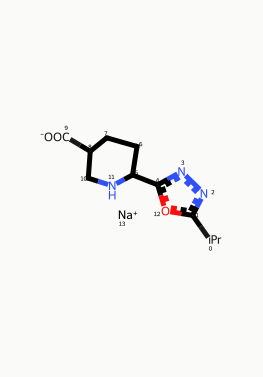 CC(C)c1nnc(C2CCC(C(=O)[O-])CN2)o1.[Na+]